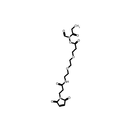 CCC(=O)N(C=O)OC(=O)CCOCCOCCNC(=O)CCN1C(=O)C=CC1=O